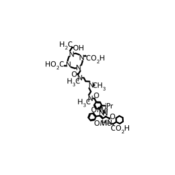 C=C(O)CN1CCN(CC(=O)O)CCN(CC(=O)N(C)CCCN(C)CCCN(C)C(=O)c2ccc(-n3nc(C(=O)N[C@H](C(=O)O)C4CCCCC4)cc3-c3c(OC)cccc3OC)c(C(C)C)c2)CCN(CC(=O)O)CC1